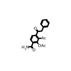 CC(=O)Oc1c(C(N)=O)ccc(C(=O)Cc2ccccc2)c1C(C)=O